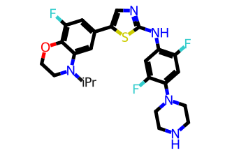 CC(C)N1CCOc2c(F)cc(-c3cnc(Nc4cc(F)c(N5CCNCC5)cc4F)s3)cc21